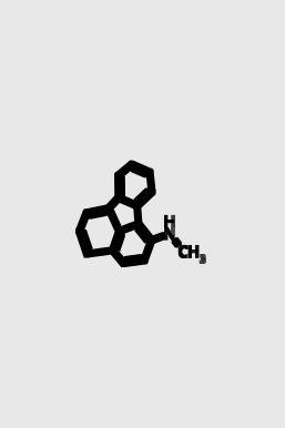 CNc1ccc2cccc3c2c1-c1ccccc1-3